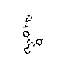 O=C(Nc1ccc(C2=NN(C(=O)c3ccc(Br)cc3)C(c3ccccn3)C2)cc1)OC1CS(=O)(=O)C1